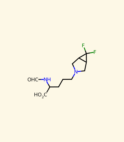 O=CNC(CCCN1CC2C(C1)C2(F)F)C(=O)O